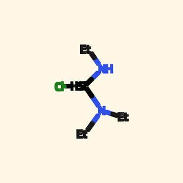 CCN[SiH](Cl)N(CC)CC